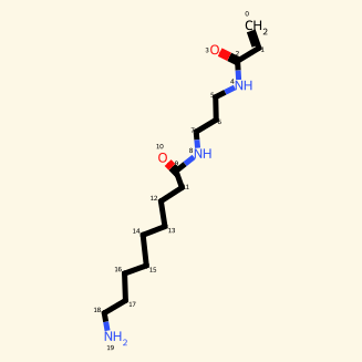 C=CC(=O)NCCCNC(=O)CCCCCCCCN